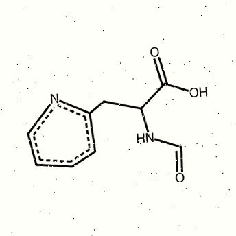 O=[C]NC(Cc1ccccn1)C(=O)O